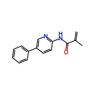 C=C(C)C(=O)Nc1ccc(-c2ccccc2)cn1